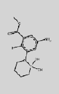 COC(=O)c1cc(N)cc(N2CCCCS2(O)O)c1F